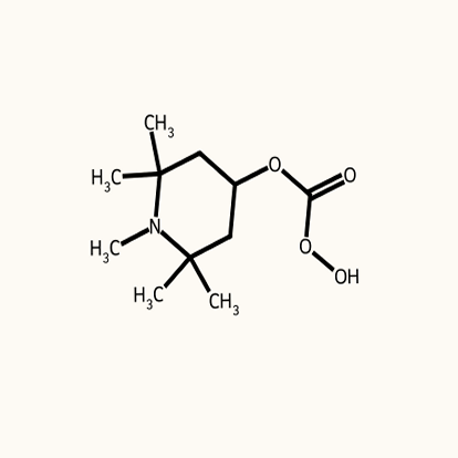 CN1C(C)(C)CC(OC(=O)OO)CC1(C)C